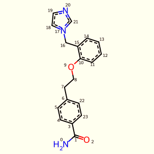 NC(=O)c1ccc(CCOc2ccccc2Cn2ccnc2)cc1